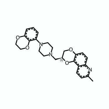 Cc1ccc2c3c(ccc2n1)OC[C@H](CN1CCN(c2cccc4c2OCCO4)CC1)O3